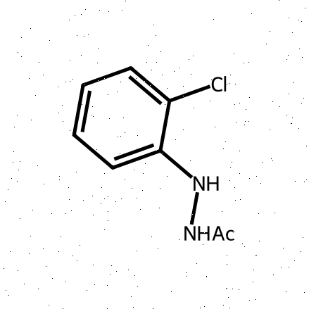 CC(=O)NNc1ccccc1Cl